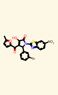 Cc1ccc(C(=O)C2=C(O)C(=O)N(c3nc4ccc([N+](=O)[O-])cc4s3)C2c2cccc(Br)c2)o1